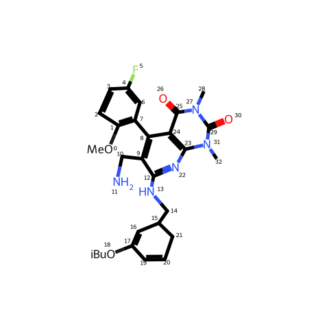 COc1ccc(F)cc1-c1c(CN)c(NCC2C=C(OCC(C)C)C=CC2)nc2c1c(=O)n(C)c(=O)n2C